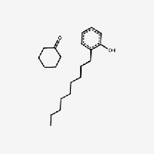 CCCCCCCCCc1ccccc1O.O=C1CCCCC1